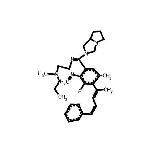 C=Nc1c(/C(=N\CCN(C)CCC)N2CC3CCCN3C2)cc(C)c(/C(C)=C/C=C\c2ccccc2)c1F